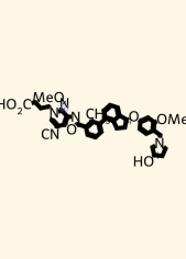 CO/N=c1/c2nc(-c3cccc(-c4cccc5c4CC[C@@H]5Oc4ccc(CN5CC[C@@H](O)C5)c(OC)c4)c3C)oc2c(C#N)cn1CCCC(=O)O